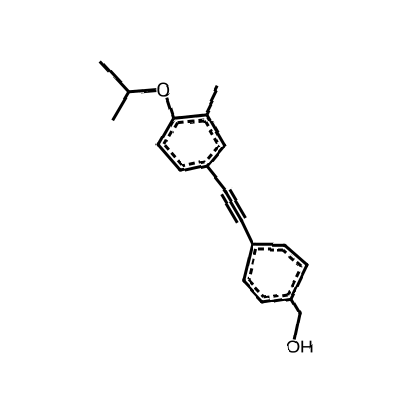 Cc1cc(C#Cc2ccc(CO)cc2)ccc1OC(C)C